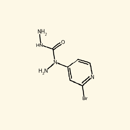 NNC(=O)N(N)c1ccnc(Br)c1